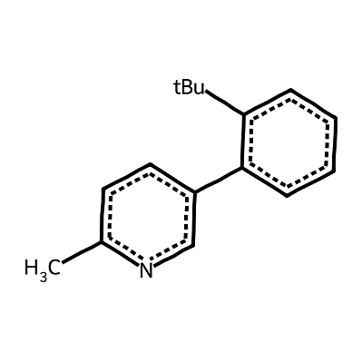 Cc1ccc(-c2ccccc2C(C)(C)C)cn1